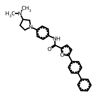 CN(C)C1CCN(c2ccc(NC(=O)c3ccc(-c4ccc(-c5ccccc5)cc4)o3)cc2)C1